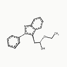 CCOC(O)Cc1c2ccccc2nn1-c1ccccc1